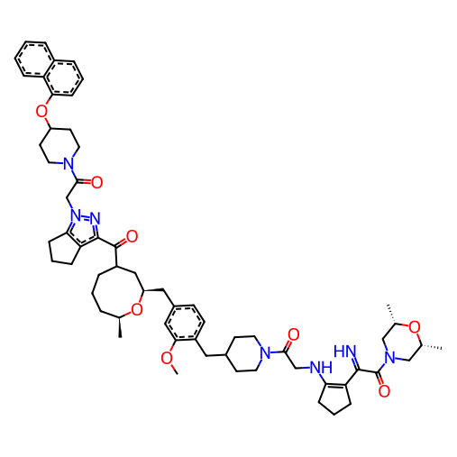 COc1cc(C[C@@H]2CC(C(=O)c3nn(CC(=O)N4CCC(Oc5cccc6ccccc56)CC4)c4c3CCC4)CCC[C@H](C)O2)ccc1CC1CCN(C(=O)CNC2=C(C(=N)C(=O)N3C[C@@H](C)O[C@@H](C)C3)CCC2)CC1